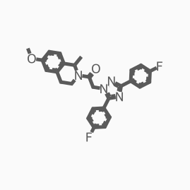 COc1ccc2c(c1)CCN(C(=O)Cn1nc(-c3ccc(F)cc3)nc1-c1ccc(F)cc1)C2C